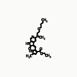 CCCCOCCN(C)c1cc2c(cn1)NC(=O)/C2=C\c1[nH]c(C)cc1C(=O)OCC